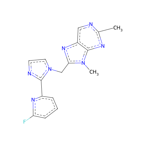 Cc1ncc2nc(Cn3ccnc3-c3cccc(F)n3)n(C)c2n1